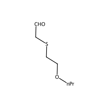 CCCOCCSCC=O